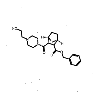 O=C(OCc1ccccc1)C1C(C(=O)N2CCN(CCO)CC2)[C@@H]2CC[C@H]1O2